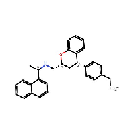 C[C@@H](NC[C@H]1C[C@@H](c2ccc(CC(=O)O)cc2)c2ccccc2O1)c1cccc2ccccc12